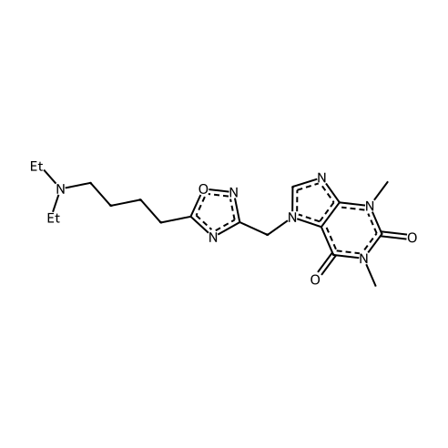 CCN(CC)CCCCc1nc(Cn2cnc3c2c(=O)n(C)c(=O)n3C)no1